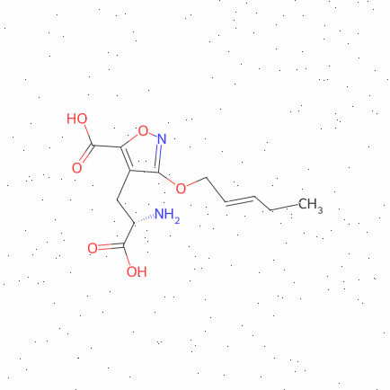 CCC=CCOc1noc(C(=O)O)c1C[C@H](N)C(=O)O